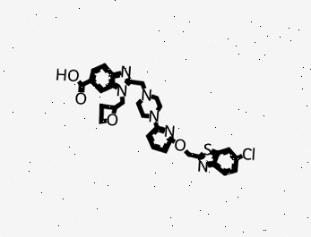 O=C(O)c1ccc2nc(CN3CCN(c4cccc(OCc5nc6ccc(Cl)cc6s5)n4)CC3)n(CC3CCO3)c2c1